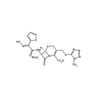 CO[C@@]1(NC(=O)/C(=N/O)c2cccs2)C(=O)N2C(C(=O)O)=C(CSc3nnnn3C)CS[C@@H]21